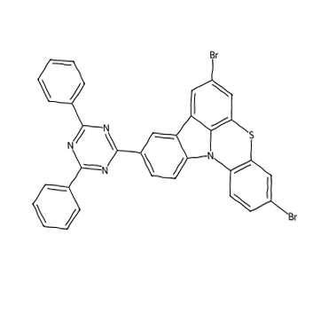 Brc1ccc2c(c1)Sc1cc(Br)cc3c4cc(-c5nc(-c6ccccc6)nc(-c6ccccc6)n5)ccc4n-2c13